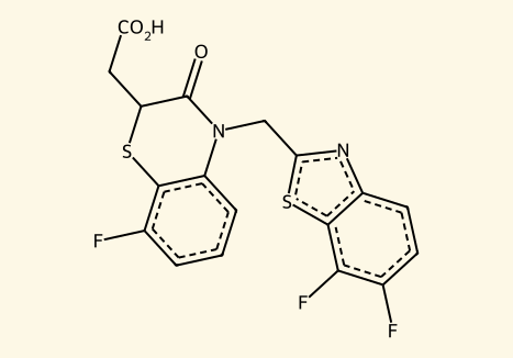 O=C(O)CC1Sc2c(F)cccc2N(Cc2nc3ccc(F)c(F)c3s2)C1=O